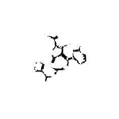 CC(Oc1nc(-c2cccc(Cl)c2)c2c(N)c(C(N)=O)sc2n1)c1cn[nH]c1